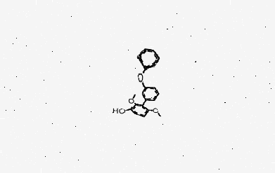 COc1ccc(O)c(OC)c1-c1cccc(Oc2ccccc2)c1